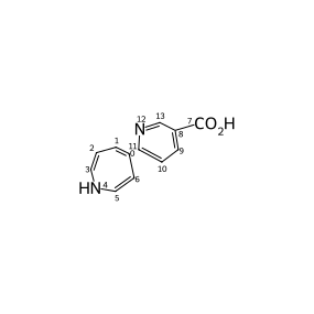 C1=CC=CNC=C1.O=C(O)c1cccnc1